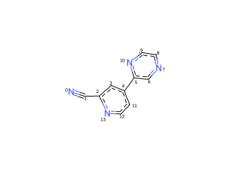 N#Cc1cc(-c2cnc[c]n2)ccn1